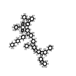 c1ccc(-c2ccc(-c3ccc(-n4c5cc(-c6ccc7c8cc9c(cc8n(-c8ccccc8)c7c6)sc6cc7c(cc69)c6cc(-c8ccccc8)ccc6n7-c6ccc7sc8ccccc8c7c6)ccc5c5cc6c(cc54)C4(c5cc7c(cc5-6)c5ccccc5n7-c5ccccc5)c5ccccc5N(c5ccccc5)c5ccccc54)cc3)cc2)cc1